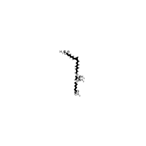 COC(=O)CCCCCOCC(COCCCCCCCCC1CC1CCCCCC(=O)OC)N(C)C